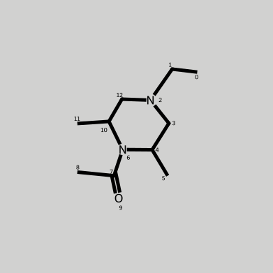 CCN1CC(C)N(C(C)=O)C(C)C1